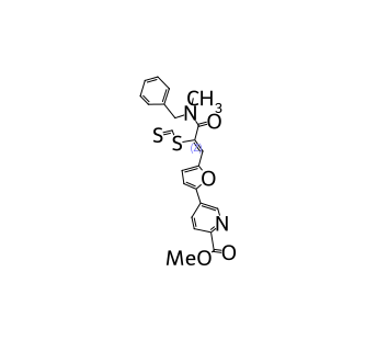 COC(=O)c1ccc(-c2ccc(/C=C(\SC=S)C(=O)N(C)Cc3ccccc3)o2)cn1